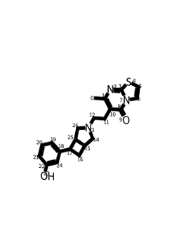 Cc1nc2sccn2c(=O)c1CCN1CC2CC(c3cccc(O)c3)C2C1